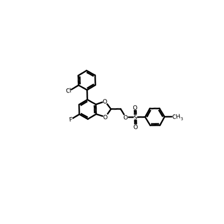 Cc1ccc(S(=O)(=O)OCC2Oc3cc(F)cc(-c4ccccc4Cl)c3O2)cc1